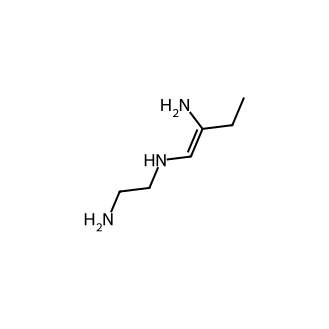 CC/C(N)=C/NCCN